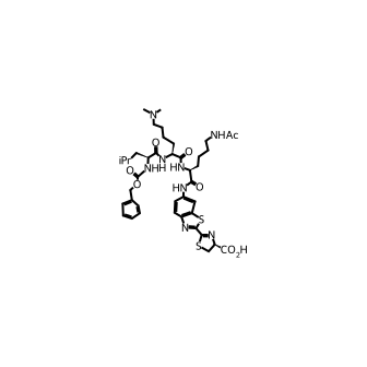 CC(=O)NCCCC[C@H](NC(=O)[C@H](CCCCN(C)C)NC(=O)[C@H](CC(C)C)NC(=O)OCc1ccccc1)C(=O)Nc1ccc2nc(C3=N[C@@H](C(=O)O)CS3)sc2c1